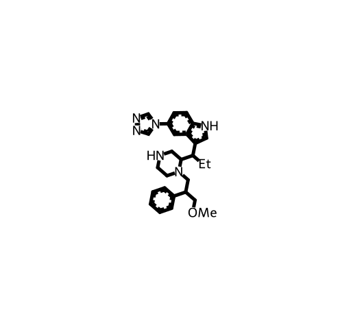 CCC(c1c[nH]c2ccc(-n3cnnc3)cc12)C1CNCCN1CC(COC)c1ccccc1